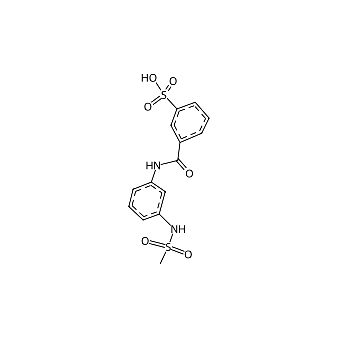 CS(=O)(=O)Nc1cccc(NC(=O)c2cccc(S(=O)(=O)O)c2)c1